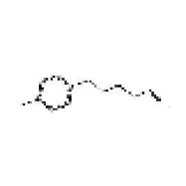 S=[C]CCCCc1ccc(Cl)cc1